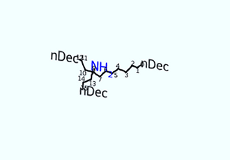 CCCCCCCCCCCCCCCCCC(N)(CCCCCCCCCCCC)CCCCCCCCCCCC